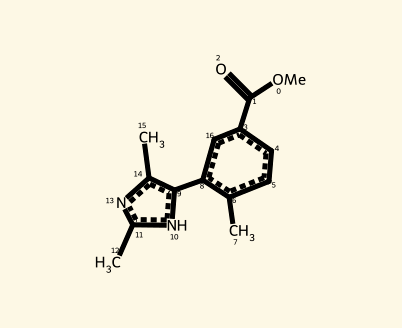 COC(=O)c1ccc(C)c(-c2[nH]c(C)nc2C)c1